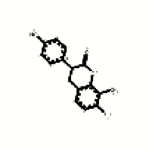 Cc1c(O)ccc2c1OC(=O)C(c1ccc(O)cc1)C2